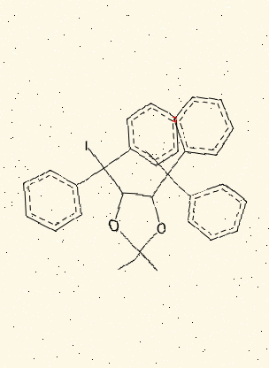 CC1(C)OC(C(C)(c2ccccc2)c2ccccc2)C(C(I)(c2ccccc2)c2ccccc2)O1